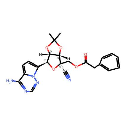 CC1(C)O[C@H]2[C@H](c3ccc4c(N)ncnn34)O[C@](C#N)(COC(=O)Cc3ccccc3)[C@H]2O1